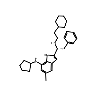 Cc1cc(NC2CCCC2)c2[nH]c([C@@H](Cc3ccccc3)NCCC3CCCCC3)cc2c1